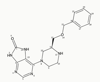 O=c1[nH]c2ncnc(N3CCN[C@H](COCc4ccccc4)C3)c2[nH]1